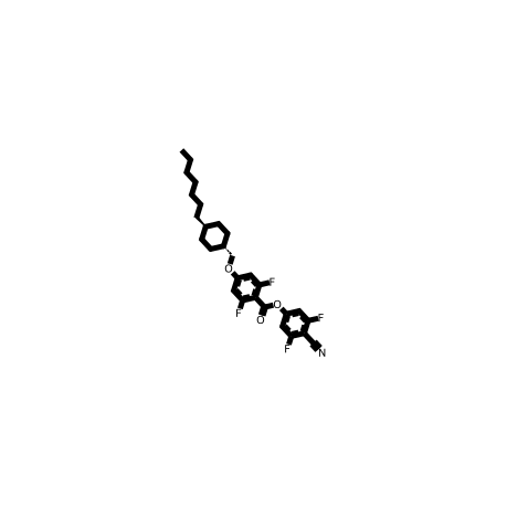 CCCCCCC[C@H]1CC[C@H](COc2cc(F)c(C(=O)Oc3cc(F)c(C#N)c(F)c3)c(F)c2)CC1